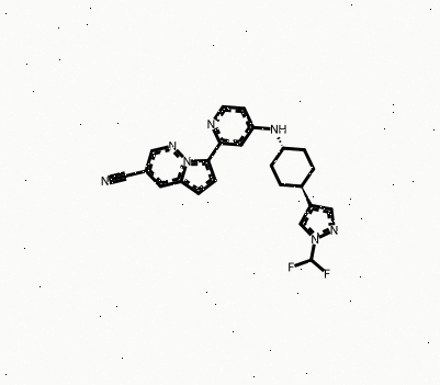 N#Cc1cnn2c(-c3cc(N[C@H]4CC[C@H](c5cnn(C(F)F)c5)CC4)ccn3)ccc2c1